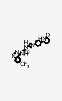 O=C(CNc1ncnc2ccc(C(F)(F)F)cc12)NC1CN(C2CCC(C3CCCC(=O)N3)CC2)C1